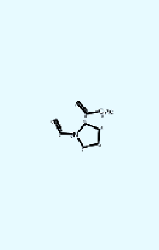 C=CN1CCCC1.C=COC(C)=O